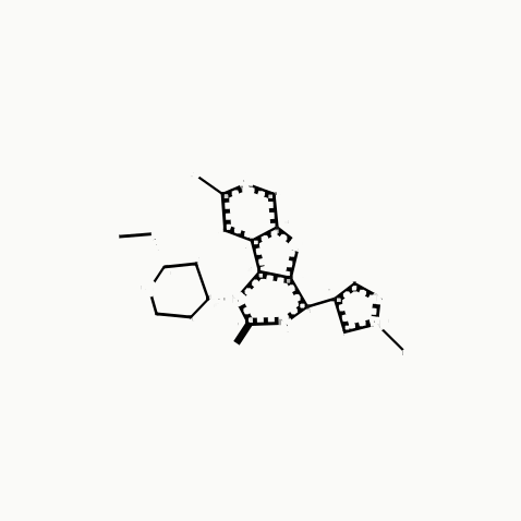 CC[C@@H]1C[C@H](n2c(=O)nc(-c3cnn(C)c3)c3oc4cnc(Br)cc4c32)CCO1